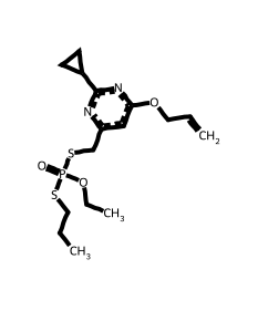 C=CCOc1cc(CSP(=O)(OCC)SCCC)nc(C2CC2)n1